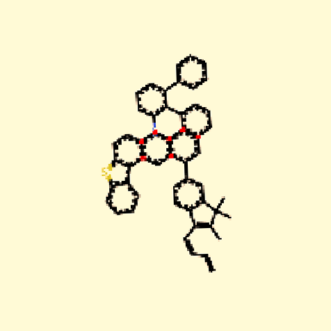 C=C/C=C\C1=C(C)C(C)(C)c2cc(-c3cccc(N(c4ccc5sc6ccccc6c5c4)c4cccc(-c5ccccc5)c4-c4ccccc4-c4ccccc4)c3)ccc21